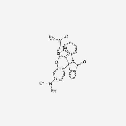 CCN(CC)c1ccc2c(c1)Oc1cc(N(CC)CC)ccc1C21c2ccccc2C(=O)N1c1ccccc1Cl